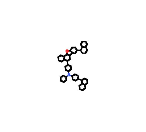 C1=Cc2ccccc2C(c2ccc3oc4c5ccccc5c(-c5ccc(N(c6ccccc6)c6ccc(-c7cccc8ccccc78)cc6)cc5)cc4c3c2)C1